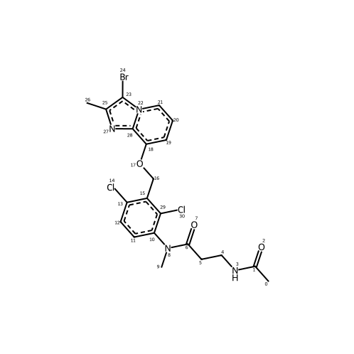 CC(=O)NCCC(=O)N(C)c1ccc(Cl)c(COc2cccn3c(Br)c(C)nc23)c1Cl